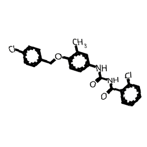 Cc1cc(NC(=O)NC(=O)c2ccccc2Cl)ccc1OCc1ccc(Cl)cc1